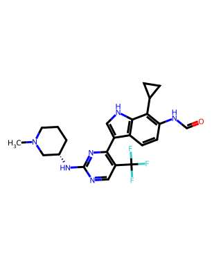 CN1CCC[C@H](Nc2ncc(C(F)(F)F)c(-c3c[nH]c4c(C5CC5)c(NC=O)ccc34)n2)C1